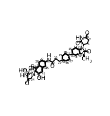 Cn1c(=O)n(C2CCC(=O)NC2=O)c2ccc(-c3ccc(CCC(=O)Nc4ccc5c(F)c(N6CC(=O)NS6(O)O)c(O)cc5c4)cc3)cc21